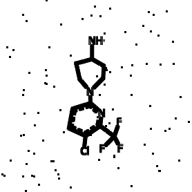 [NH]C1CCN(c2ccc(Cl)c(C(F)(F)F)n2)CC1